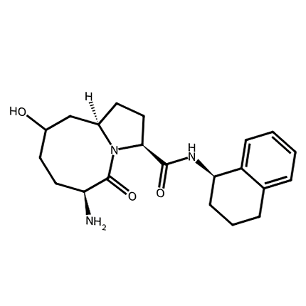 N[C@H]1CCC(O)C[C@H]2CC[C@@H](C(=O)N[C@@H]3CCCc4ccccc43)N2C1=O